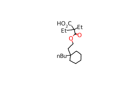 CCCCC1(CCOC(=O)C(CC)(CC)C(=O)O)CCCCC1